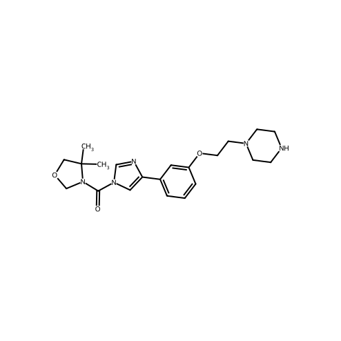 CC1(C)COCN1C(=O)n1cnc(-c2cccc(OCCN3CCNCC3)c2)c1